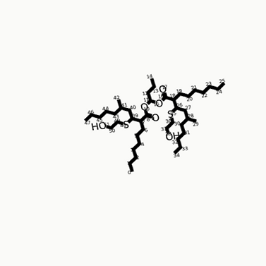 CCCCCCCC(C(=O)OC(CCC)OC(=O)C(CCCCCCC)C(CC(C)CCCCC)SCCO)C(CC(C)CCCCC)SCCO